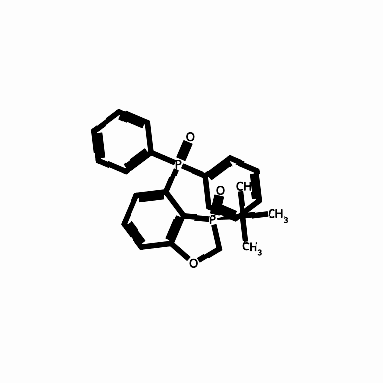 CC(C)(C)[P@@]1(=O)COc2cccc(P(=O)(c3ccccc3)c3ccccc3)c21